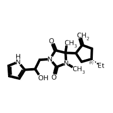 C=C1C[C@H](CC)CC1C1(C)C(=O)N(CC(O)c2ccc[nH]2)C(=O)N1C